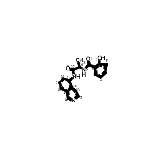 Cc1ccccc1C(=O)NC(C)C(=O)Nc1cccc2cnccc12